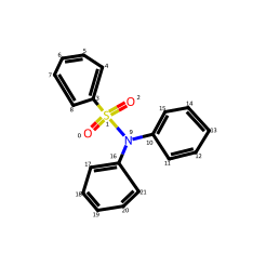 O=S(=O)(c1ccccc1)N(c1[c]cccc1)c1ccccc1